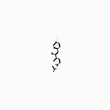 CCCCc1ccc2cc(-c3ccc4nc(C)cn4c3)c(=O)oc2c1